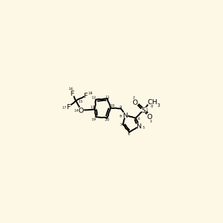 CS(=O)(=O)c1nccn1Cc1ccc(OC(F)(F)F)cc1